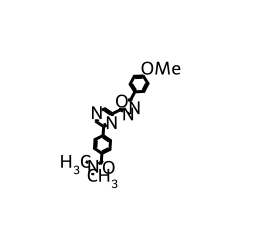 COc1ccc(-c2nnc(-c3cncc(-c4ccc(C(=O)N(C)C)cc4)n3)o2)cc1